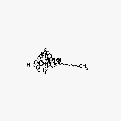 CCCCCCCCCC[C@@H](O)[C@H]1CC=C2C(=O)N(c3cc(OC)c(OC)c(OC)c3)C(=O)[C@H]2N1Nc1ccc([N+](=O)[O-])cc1